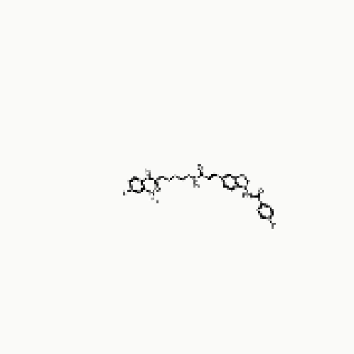 Nc1cc(F)ccc1NC(=O)CCCCCNC(=O)/C=C/c1ccc2c(c1)CCC2NC(=O)c1ccc(F)cc1